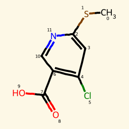 CSc1cc(Cl)c(C(=O)O)cn1